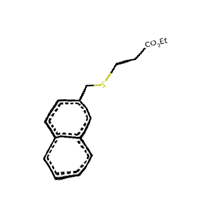 CCOC(=O)CCSCc1ccc2ccccc2c1